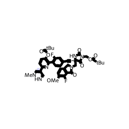 CN/C=C(\C=N)c1ccc(OC(=O)C(C)(C)C)c(-c2ccc(C#C[C@]3(CN4Cc5ccc(OC)c(F)c5C4=O)NC(=O)N(COC(=O)C(C)(C)C)C3=O)cc2F)n1